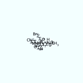 COC(=O)Nc1ccc(-c2cc(C(=O)Nc3ccc(Cl)cn3)ccn2)c(NC(=O)CCCCBr)c1